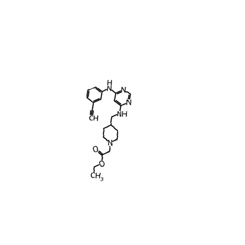 C#Cc1cccc(Nc2cc(NCC3CCN(CC(=O)OCC)CC3)ncn2)c1